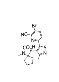 Cc1nsc(-c2ccc(Br)c(C#N)n2)c1CC1(N(C)C(=O)O)CCCC1